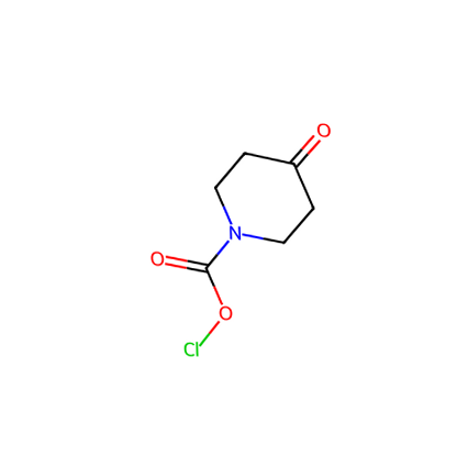 O=C1CCN(C(=O)OCl)CC1